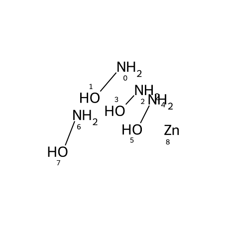 NO.NO.NO.NO.[Zn]